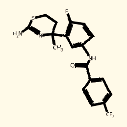 CC1(c2cc(NC(=O)c3ccc(C(F)(F)F)cc3)ccc2F)CCSC(N)=N1